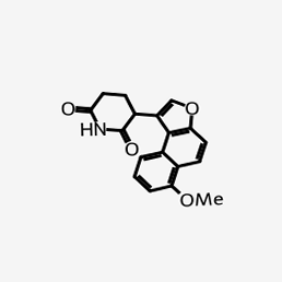 COc1cccc2c1ccc1occ(C3CCC(=O)NC3=O)c12